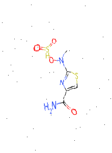 CN(O[SH](=O)=O)c1nc(C(N)=O)cs1